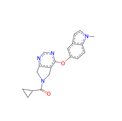 Cn1ccc2cc(Oc3ncnc4c3CN(C(=O)C3CC3)C4)ccc21